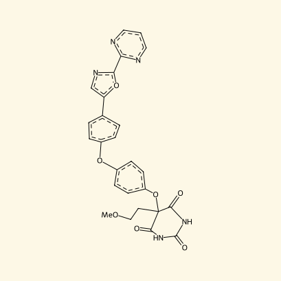 COCCC1(Oc2ccc(Oc3ccc(-c4cnc(-c5ncccn5)o4)cc3)cc2)C(=O)NC(=O)NC1=O